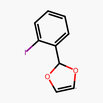 Ic1ccccc1C1O[C]=CO1